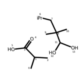 CC(C)C(=O)O.CC(C)CC(C)(C)C(O)O